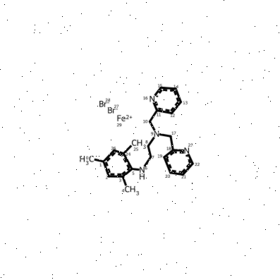 Cc1cc(C)c(NCCN(Cc2ccccn2)Cc2ccccn2)c(C)c1.[Br-].[Br-].[Fe+2]